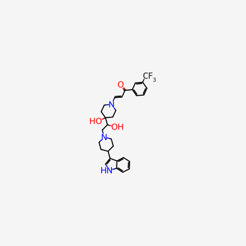 O=C(C=CN1CCC(O)(C(O)CN2CCC(c3c[nH]c4ccccc34)CC2)CC1)c1cccc(C(F)(F)F)c1